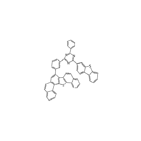 c1ccc(-c2nc(-c3cccc(-c4cc5ccc6ccccc6c5c5sc6c7ccccc7ccc6c45)c3)nc(-c3ccc4c(c3)sc3ccccc34)n2)cc1